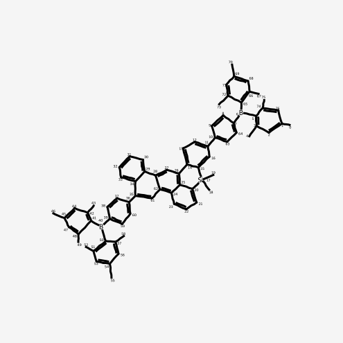 Cc1cc(C)c(B(c2ccc(-c3ccc4c(c3)[Si](C)(C)c3cccc5c3c-4cc3c4ccccc4c(-c4ccc(B(c6c(C)cc(C)cc6C)c6c(C)cc(C)cc6C)cc4)cc53)cc2)c2c(C)cc(C)cc2C)c(C)c1